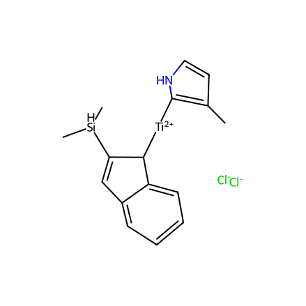 Cc1cc[nH][c]1[Ti+2][CH]1C([SiH](C)C)=Cc2ccccc21.[Cl-].[Cl-]